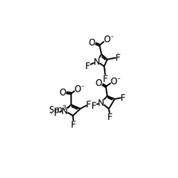 O=C([O-])C1=C(F)C(F)N1F.O=C([O-])C1=C(F)C(F)N1F.O=C([O-])C1=C(F)C(F)N1F.[Sm+3]